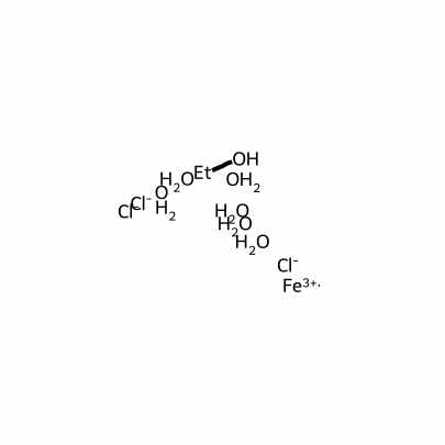 CCO.O.O.O.O.O.O.[Cl-].[Cl-].[Cl-].[Fe+3]